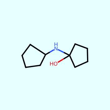 OC1(NC2CCCC2)CCCC1